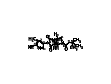 Cc1cc(N2C(=O)[C@@H]3[C@@H]4C[C@@H](CN4C(=O)CC(C)(C)C)N3C2=O)cnc1C#N